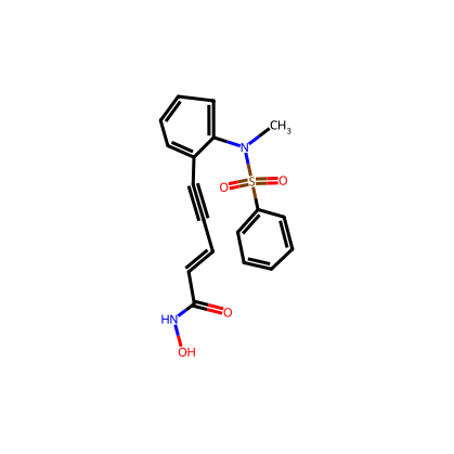 CN(c1ccccc1C#CC=CC(=O)NO)S(=O)(=O)c1ccccc1